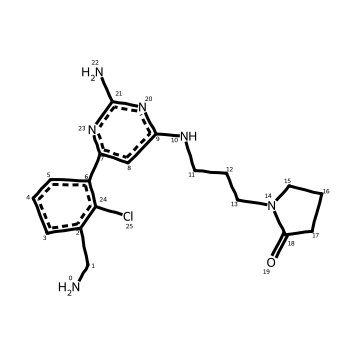 NCc1cccc(-c2cc(NCCCN3CCCC3=O)nc(N)n2)c1Cl